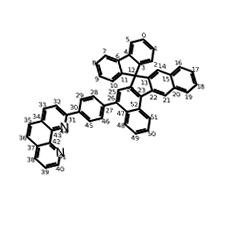 c1ccc2c(c1)-c1ccccc1C21c2cc3ccccc3cc2-c2c1cc(-c1ccc(-c3ccc4ccc5cccnc5c4n3)cc1)c1ccccc21